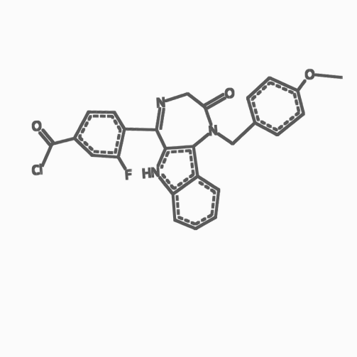 COc1ccc(CN2C(=O)CN=C(c3ccc(C(=O)Cl)cc3F)c3[nH]c4ccccc4c32)cc1